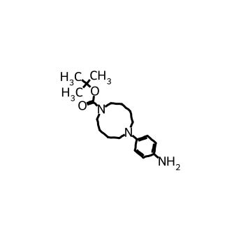 CC(C)(C)OC(=O)N1CCCCN(c2ccc(N)cc2)CCCC1